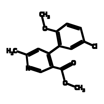 COC(=O)c1cnc(C)cc1-c1cc(Cl)ccc1OC